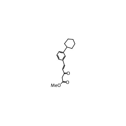 COC(=O)CC(=O)C=Cc1cccc(C2CCCCC2)c1